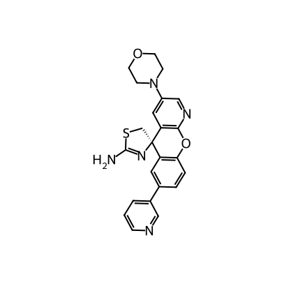 NC1=N[C@]2(CS1)c1cc(-c3cccnc3)ccc1Oc1ncc(N3CCOCC3)cc12